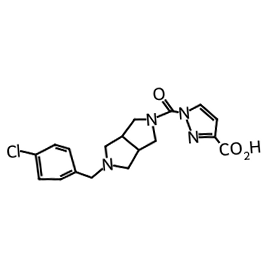 O=C(O)c1ccn(C(=O)N2CC3CN(Cc4ccc(Cl)cc4)CC3C2)n1